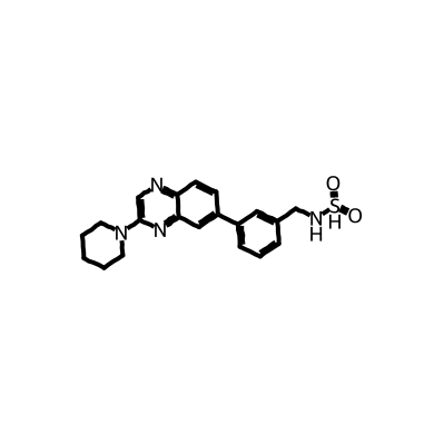 O=[SH](=O)NCc1cccc(-c2ccc3ncc(N4CCCCC4)nc3c2)c1